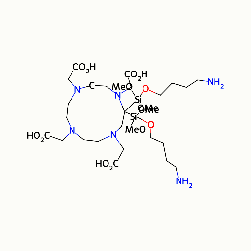 CO[Si](OC)(OCCCCN)C1([Si](OC)(OC)OCCCCN)CN(CC(=O)O)CCN(CC(=O)O)CCN(CC(=O)O)CCN1CC(=O)O